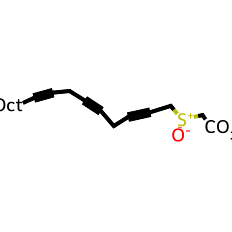 CCCCCCCCC#CCC#CCC#CC[S+]([O-])CC(=O)O